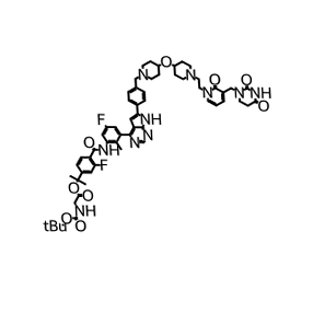 Cc1c(NC(=O)c2ccc(C(C)(C)OC(=O)CNC(=O)OC(C)(C)C)cc2F)cc(F)cc1-c1ncnc2[nH]c(-c3ccc(CN4CCC(OC5CCN(CCn6cccc(CN7CCC(=O)NC7=O)c6=O)CC5)CC4)cc3)cc12